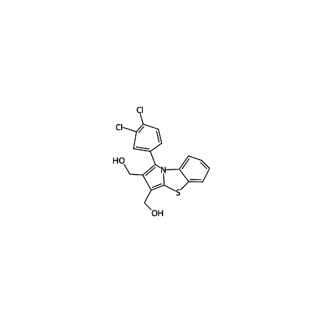 OCc1c(CO)c2sc3ccccc3n2c1-c1ccc(Cl)c(Cl)c1